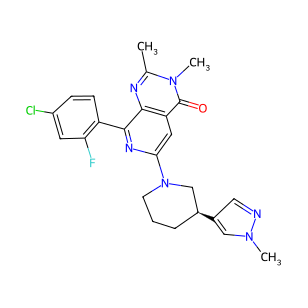 Cc1nc2c(-c3ccc(Cl)cc3F)nc(N3CCC[C@H](c4cnn(C)c4)C3)cc2c(=O)n1C